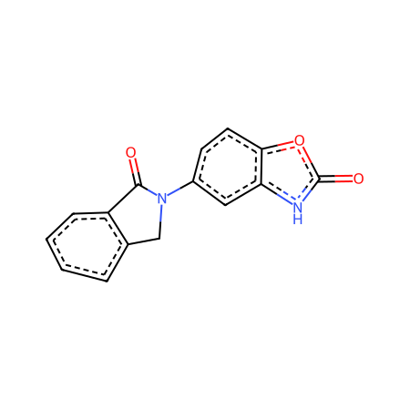 O=C1c2ccccc2CN1c1ccc2oc(=O)[nH]c2c1